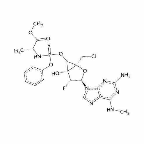 CNc1nc(N)nc2c1ncn2[C@@H]1O[C@]2(CCl)C(OP(=S)(N[C@H](C)C(=O)OC)Oc3ccccc3)[C@]2(O)[C@H]1F